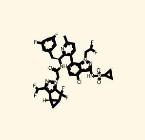 Cc1ccc(-c2ccc(Cl)c3c(NS(=O)(=O)C4CC4)nn(CC(F)F)c23)c([C@H](Cc2cc(F)cc(F)c2)NC(=O)Cn2nc(C(F)F)c3c2C(F)(F)C2C[C@H]32)n1